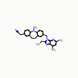 CCc1nc2c(C)cc(C)nc2n1Cc1ccc2c(c1)CCc1cc(CC#N)ccc1N2C